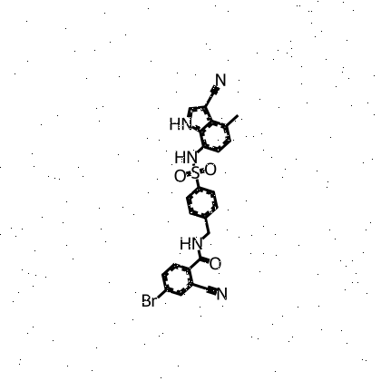 Cc1ccc(NS(=O)(=O)c2ccc(CNC(=O)c3ccc(Br)cc3C#N)cc2)c2[nH]cc(C#N)c12